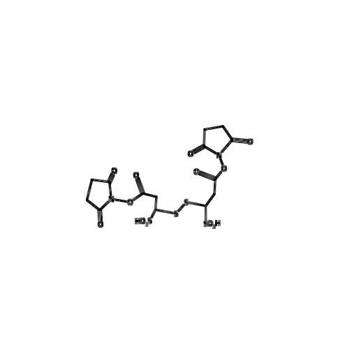 O=C(CC(SSC(CC(=O)ON1C(=O)CCC1=O)S(=O)(=O)O)S(=O)(=O)O)ON1C(=O)CCC1=O